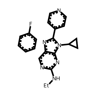 CCNc1ncc2nc(-c3ccncc3)n(C3CC3)c2n1.Fc1ccccc1